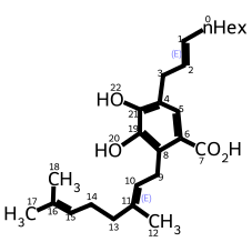 CCCCCC/C=C/Cc1cc(C(=O)O)c(C/C=C(\C)CCC=C(C)C)c(O)c1O